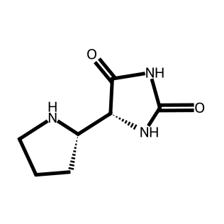 O=C1NC(=O)[C@@H]([C@@H]2CCCN2)N1